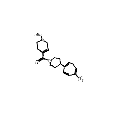 CCCCN1CC=C(C(=O)N2CCC(C3=CCC=C(C(F)(F)F)C=C3)CC2)CC1